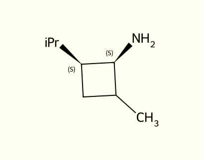 CC1C[C@@H](C(C)C)[C@H]1N